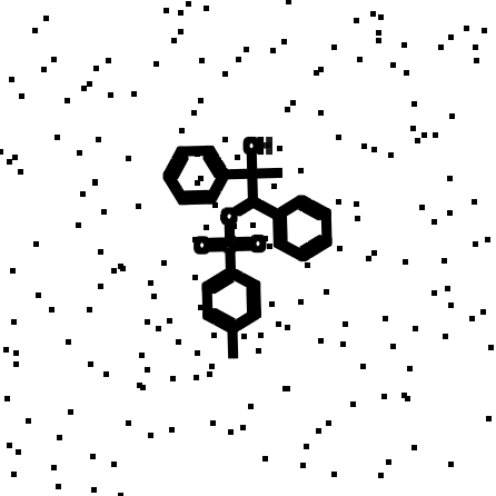 Cc1ccc(S(=O)(=O)OC(c2ccccc2)C(C)(O)c2ccccc2)cc1